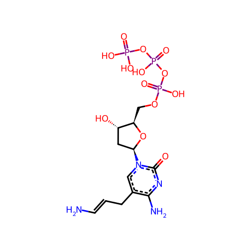 NC=CCc1cn([C@H]2C[C@H](O)[C@@H](COP(=O)(O)OP(=O)(O)OP(=O)(O)O)O2)c(=O)nc1N